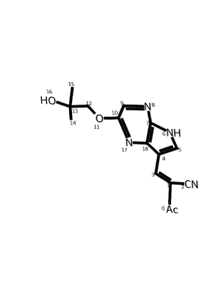 CC(=O)C(C#N)=Cc1c[nH]c2ncc(OCC(C)(C)O)nc12